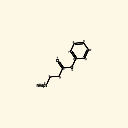 CCCCCCCCCC(=O)Oc1ccccc1